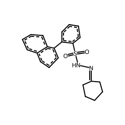 O=S(=O)(NN=C1CCCCC1)c1ccccc1-c1cccc2ccccc12